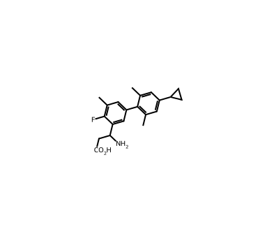 Cc1cc(-c2c(C)cc(C3CC3)cc2C)cc(C(N)CC(=O)O)c1F